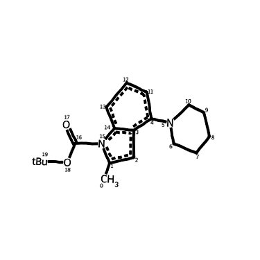 Cc1cc2c(N3CCCCC3)cccc2n1C(=O)OC(C)(C)C